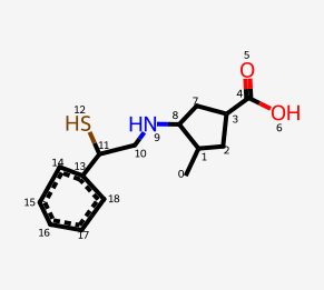 CC1CC(C(=O)O)CC1NCC(S)c1ccccc1